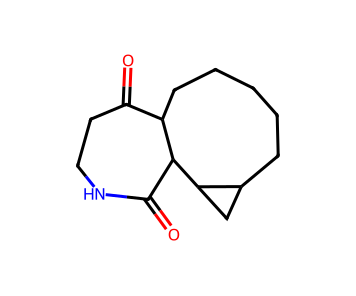 O=C1CCNC(=O)C2C1CCCCCC1CC12